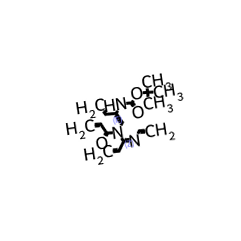 C=C/N=C(/C=C)N(/C=C(\C=C)NC(=O)OC(C)(C)C)C(=O)C=C